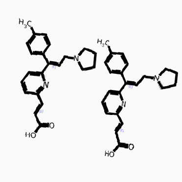 Cc1ccc(/C(=C\CN2CCCC2)c2cccc(/C=C/C(=O)O)n2)cc1.Cc1ccc(/C(=C\CN2CCCC2)c2cccc(/C=C/C(=O)O)n2)cc1